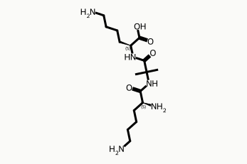 CC(C)(NC(=O)[C@@H](N)CCCCN)C(=O)N[C@@H](CCCCN)C(=O)O